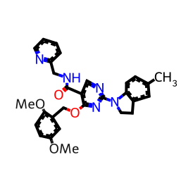 COc1ccc(OC)c(COc2nc(N3CCc4cc(C)ccc43)ncc2C(=O)NCc2ccccn2)c1